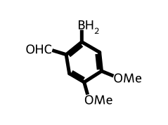 Bc1cc(OC)c(OC)cc1C=O